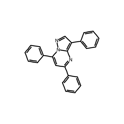 c1ccc(-c2cc(-c3ccccc3)n3ncc(-c4ccccc4)c3n2)cc1